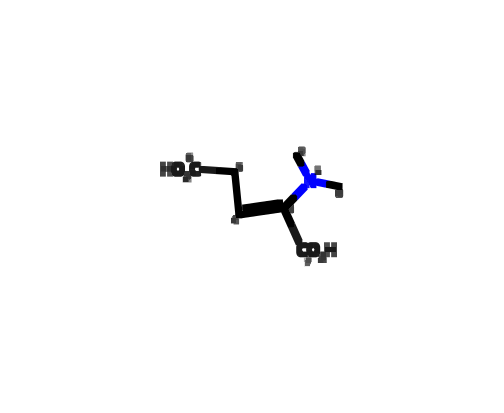 CN(C)C(=CCC(=O)O)C(=O)O